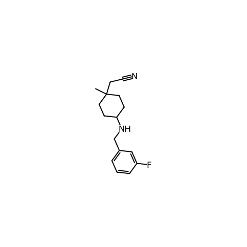 CC1(CC#N)CCC(NCc2cccc(F)c2)CC1